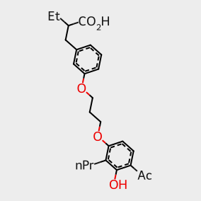 CCCc1c(OCCCOc2cccc(CC(CC)C(=O)O)c2)ccc(C(C)=O)c1O